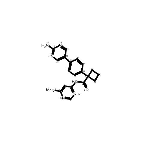 COc1cc(NC(=O)C2(c3ccc(-c4cnc(N)nc4)cc3)CCC2)ncn1